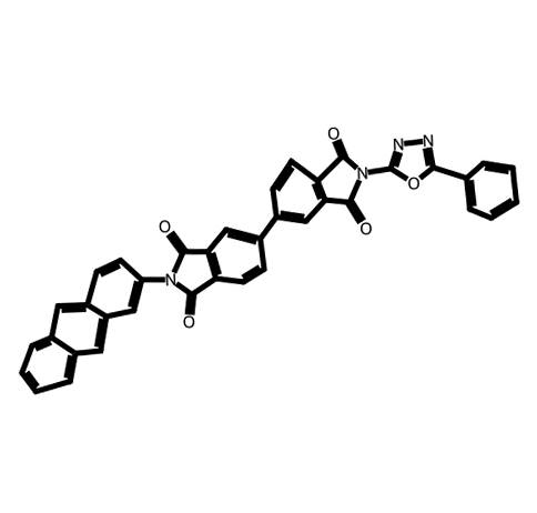 O=C1c2ccc(-c3ccc4c(c3)C(=O)N(c3nnc(-c5ccccc5)o3)C4=O)cc2C(=O)N1c1ccc2cc3ccccc3cc2c1